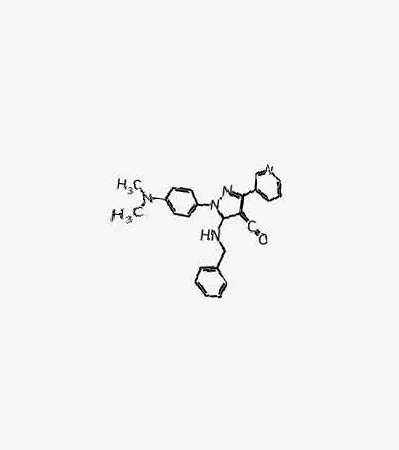 CN(C)c1ccc(N2N=C(c3cccnc3)C(=C=O)C2NCc2ccccc2)cc1